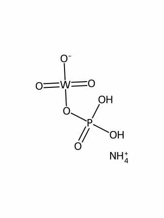 O=P(O)(O)[O][W](=[O])(=[O])[O-].[NH4+]